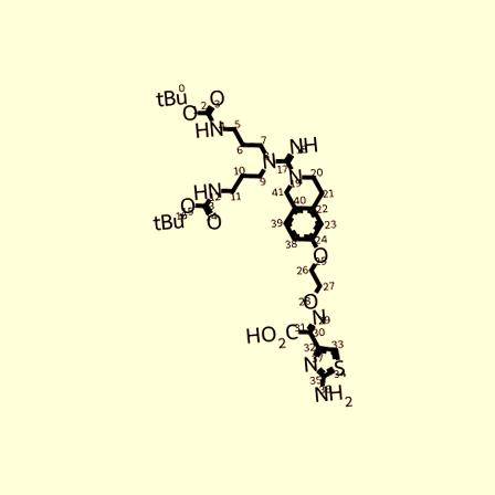 CC(C)(C)OC(=O)NCCCN(CCCNC(=O)OC(C)(C)C)C(=N)N1CCc2cc(OCCO/N=C(\C(=O)O)c3csc(N)n3)ccc2C1